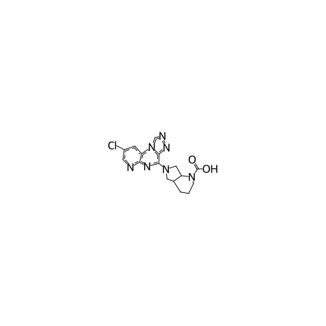 O=C(O)N1CCCC2CN(c3nc4ncc(Cl)cc4n4cnnc34)CC21